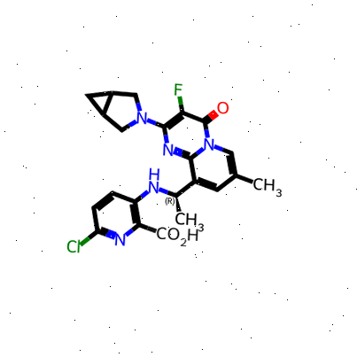 Cc1cc([C@@H](C)Nc2ccc(Cl)nc2C(=O)O)c2nc(N3CC4CC4C3)c(F)c(=O)n2c1